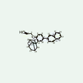 C#CCOc1ccc(-c2ccc3ccccc3c2)cc1C12CC3CC(CC(C3)C1)C2